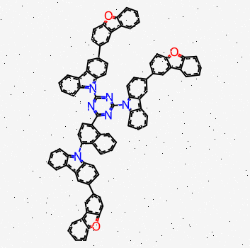 c1ccc2c(c1)oc1ccc(-c3ccc4c(c3)c3ccccc3n4-c3nc(-c4ccc(-n5c6ccccc6c6cc(-c7ccc8oc9ccccc9c8c7)ccc65)c5ccccc45)nc(-n4c5ccccc5c5cc(-c6ccc7oc8ccccc8c7c6)ccc54)n3)cc12